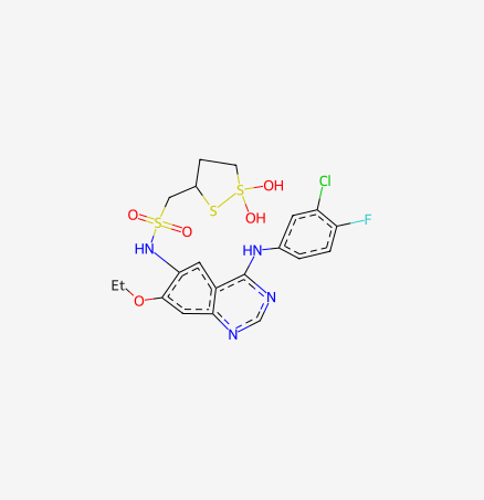 CCOc1cc2ncnc(Nc3ccc(F)c(Cl)c3)c2cc1NS(=O)(=O)CC1CCS(O)(O)S1